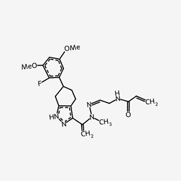 C=CC(=O)NC/C=N\N(C)C(=C)c1n[nH]c2c1CCC(c1cc(OC)cc(OC)c1F)C2